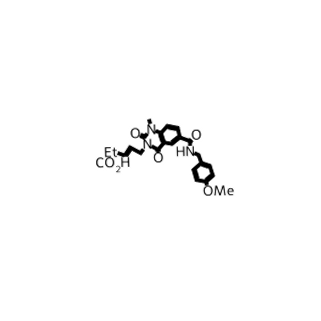 CCC(=CCn1c(=O)c2cc(C(=O)NCc3ccc(OC)cc3)ccc2n(C)c1=O)C(=O)O